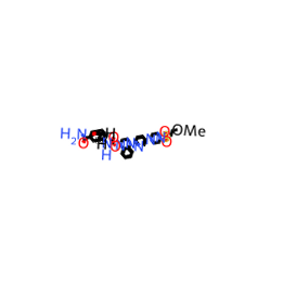 COCCS(=O)(=O)N1CCN(c2ccc(N3CCN(OC(=O)NC4[C@@H]5CC6C[C@H]4CC(C(N)=O)(C6)C5)c4ccccc43)nc2)CC1